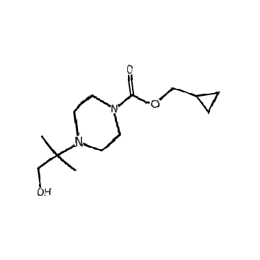 CC(C)(CO)N1CCN(C(=O)OCC2CC2)CC1